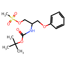 CC(C)(C)OC(=O)NC(COc1ccccc1)COS(C)(=O)=O